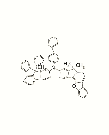 CC1(C)c2cc(N(C3=CC4(C)C(C=C3)c3ccccc3C4(c3ccccc3)c3ccccc3)c3ccc(-c4ccccc4)cc3)ccc2-c2c1ccc1c2oc2ccccc21